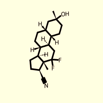 C[C@@]1(O)CC[C@H]2[C@H](CC[C@@H]3[C@@H]2CC(F)(F)[C@]2(C)[C@@H](C#N)CC[C@@H]32)C1